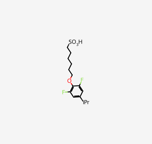 CC(C)c1cc(F)c(OCCCCCCS(=O)(=O)O)c(F)c1